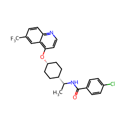 CC(NC(=O)c1ccc(Cl)cc1)[C@H]1CC[C@@H](Oc2ccnc3ccc(C(F)(F)F)cc23)CC1